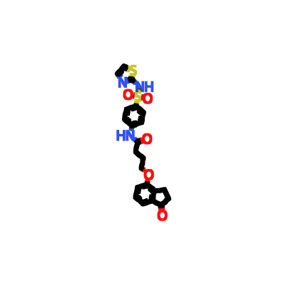 O=C(CCCOc1cccc2c1CCC2=O)Nc1ccc(S(=O)(=O)Nc2nccs2)cc1